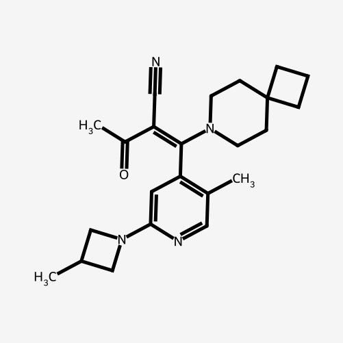 CC(=O)/C(C#N)=C(\c1cc(N2CC(C)C2)ncc1C)N1CCC2(CCC2)CC1